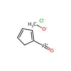 C[O-].[Cl-].[O]=[V+2][C]1=CC=CC1